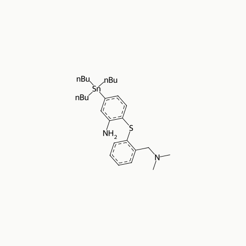 CCC[CH2][Sn]([CH2]CCC)([CH2]CCC)[c]1ccc(Sc2ccccc2CN(C)C)c(N)c1